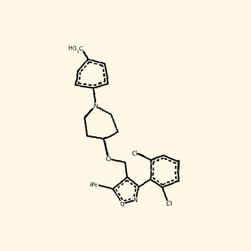 CC(C)c1onc(-c2c(Cl)cccc2Cl)c1COC1CCN(c2ccc(C(=O)O)cc2)CC1